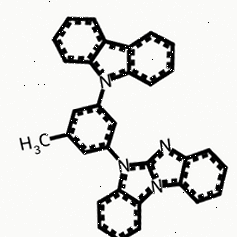 Cc1cc(-n2c3ccccc3c3ccccc32)cc(-n2c3ccccc3n3c4ccccc4nc23)c1